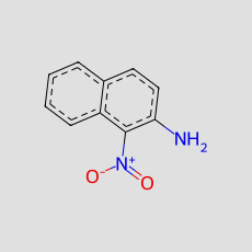 Nc1ccc2ccccc2c1[N+](=O)[O-]